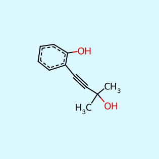 CC(C)(O)C#Cc1ccccc1O